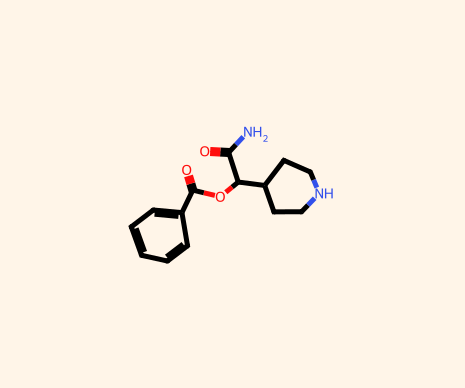 NC(=O)C(OC(=O)c1ccccc1)C1CCNCC1